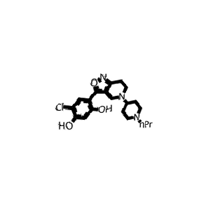 CCCN1CCC(N2CCc3noc(-c4cc(Cl)c(O)cc4O)c3C2)CC1